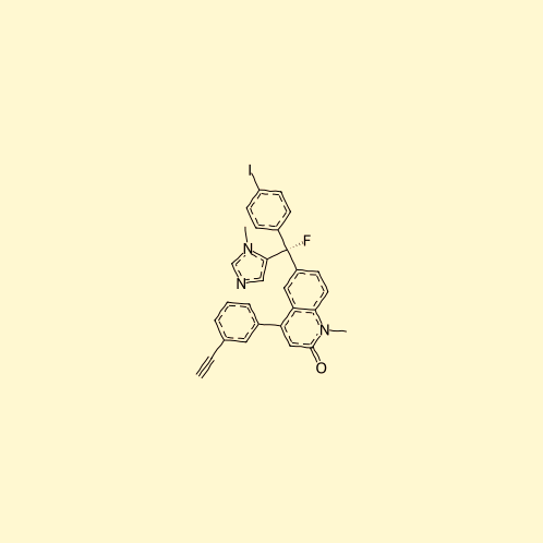 C#Cc1cccc(-c2cc(=O)n(C)c3ccc([C@](F)(c4ccc(I)cc4)c4cncn4C)cc23)c1